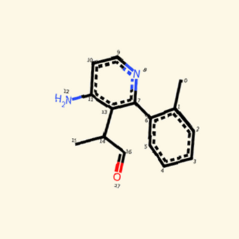 Cc1ccccc1-c1nccc(N)c1C(C)C=O